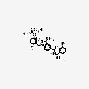 Cc1c(C)n(Cc2cc(OC(C)C(=O)O)ccc2Cl)c2ccc(C(=O)N[C@@H](C)c3cccc(C(C)C)c3)cc12